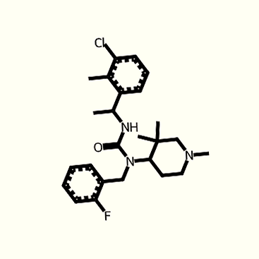 Cc1c(Cl)cccc1C(C)NC(=O)N(Cc1ccccc1F)C1CCN(C)CC1(C)C